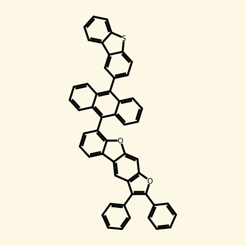 c1ccc(-c2oc3cc4oc5c(-c6c7ccccc7c(-c7ccc8sc9ccccc9c8c7)c7ccccc67)cccc5c4cc3c2-c2ccccc2)cc1